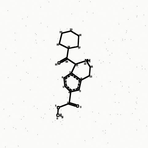 COC(=O)c1ccc2c(c1)CCNC2C(=O)C1CCCCC1